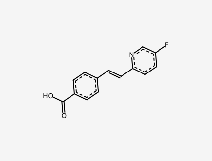 O=C(O)c1ccc(/C=C/c2ccc(F)cn2)cc1